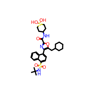 CC(C)(C)NS(=O)(=O)c1ccc(-c2nc(C(=O)NC3CCS(O)(O)CC3)oc2CC2CCCCC2)c2ccccc12